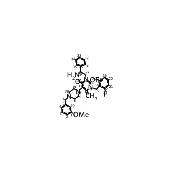 COc1cccc(CN2CCN(c3c(C)n(Cc4c(F)cccc4F)c(=O)n(C[C@@H](N)c4ccccc4)c3=O)CC2)c1